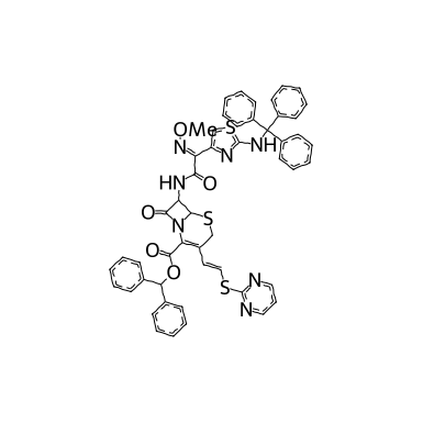 CON=C(C(=O)NC1C(=O)N2C(C(=O)OC(c3ccccc3)c3ccccc3)=C(C=CSc3ncccn3)CSC12)c1csc(NC(c2ccccc2)(c2ccccc2)c2ccccc2)n1